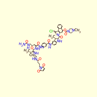 CC1c2cc(NC(=O)c3ccc(NC(=O)[C@H](CCCNC(N)=O)NC(=O)[C@@H](NCCNC(=O)CCCN4C(=O)C=CC4=O)C(C)C)cc3)ccc2NC1C(=O)N1C[C@@H](CCl)c2c1cc(OC(=O)N1CCN(C)CC1)c1ccccc21